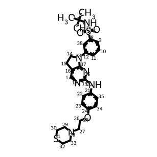 CC(C)(C)NS(=O)(=O)c1cccc(N2CCc3cnc(Nc4ccc(OCCN5CCSCC5)cc4)nc32)c1